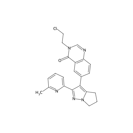 Cc1cccc(-c2nn3c(c2-c2ccc4ncn(CCCl)c(=O)c4c2)CCC3)n1